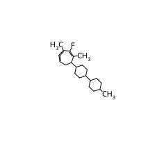 CC1=C=CCC(C2CCC(C3CCC(C)CC3)CC2)C(C)=C1F